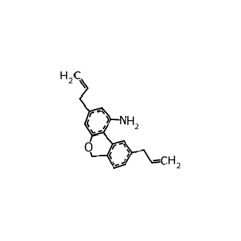 C=CCc1cc(N)c2c(c1)OCc1ccc(CC=C)cc1-2